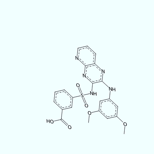 COc1cc(Nc2nc3cccnc3nc2NS(=O)(=O)c2cccc(C(=O)O)c2)cc(OC)c1